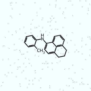 Cc1ccccc1Nc1ccc2c3c(cccc13)CCC2